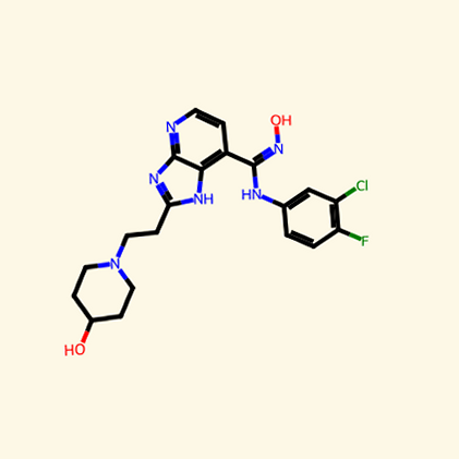 O/N=C(/Nc1ccc(F)c(Cl)c1)c1ccnc2nc(CCN3CCC(O)CC3)[nH]c12